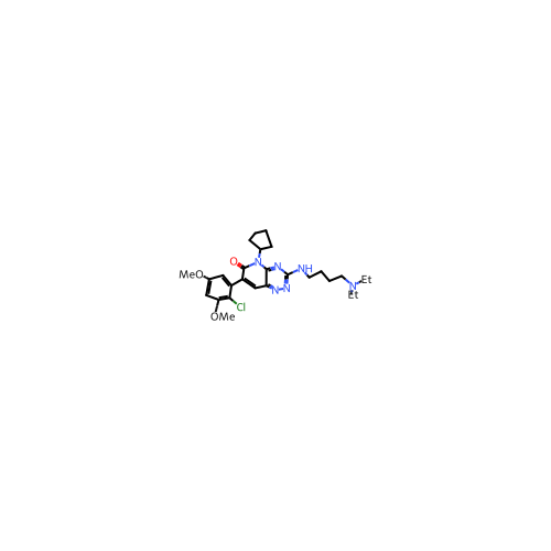 CCN(CC)CCCCNc1nnc2cc(-c3cc(OC)cc(OC)c3Cl)c(=O)n(C3CCCC3)c2n1